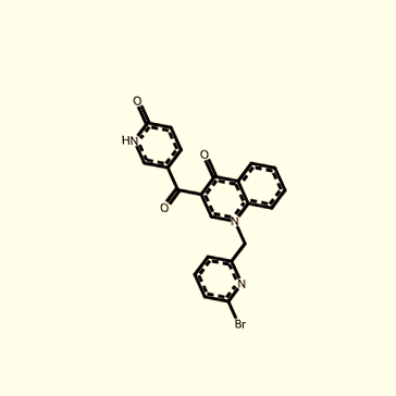 O=C(c1ccc(=O)[nH]c1)c1cn(Cc2cccc(Br)n2)c2ccccc2c1=O